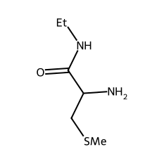 CCNC(=O)C(N)CSC